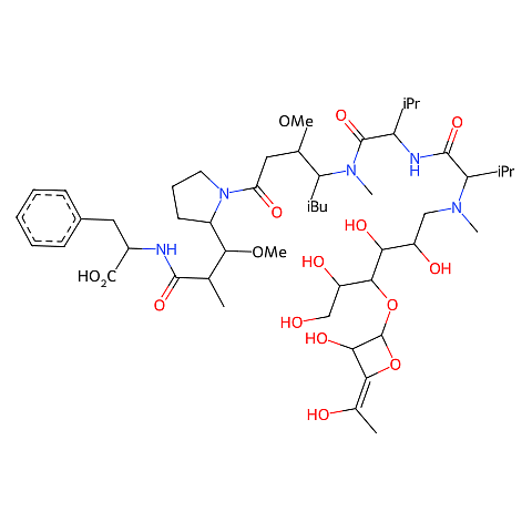 CCC(C)C(C(CC(=O)N1CCCC1C(OC)C(C)C(=O)NC(Cc1ccccc1)C(=O)O)OC)N(C)C(=O)C(NC(=O)C(C(C)C)N(C)CC(O)C(O)C(OC1O/C(=C(\C)O)C1O)C(O)CO)C(C)C